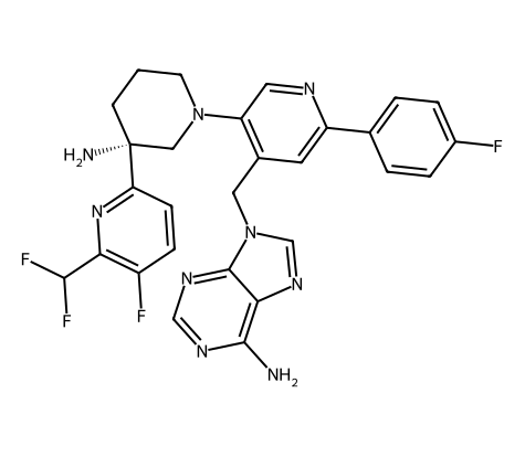 Nc1ncnc2c1ncn2Cc1cc(-c2ccc(F)cc2)ncc1N1CCC[C@](N)(c2ccc(F)c(C(F)F)n2)C1